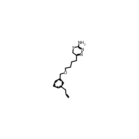 C=CCc1cccc(COCCCCC2=NN=C(N)SC2)c1